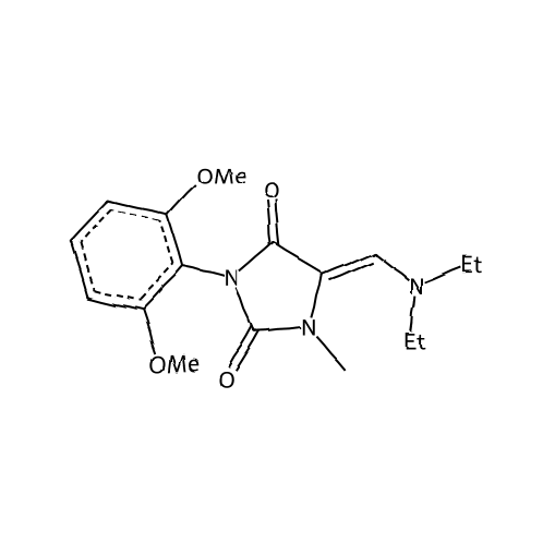 CCN(/C=C1/C(=O)N(c2c(OC)cccc2OC)C(=O)N1C)CC